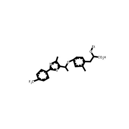 CCOC(Cc1ccc(OC(C)c2sc(-c3ccc(C(F)(F)F)cc3)nc2C)cc1C)C(=O)O